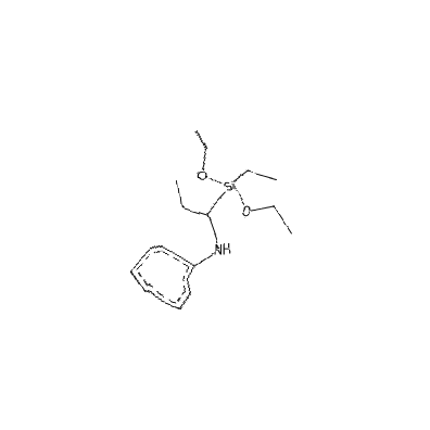 CCO[Si](CC)(OCC)C(CC)Nc1ccccc1